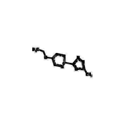 CCOc1ccc(-c2nnc(C)o2)nc1